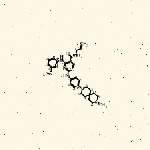 C=CCNC(=O)c1cnc(Nc2ccc(N3CCC4(CCN(C)CC4)CC3)cc2)nc1Nc1cccc(OCC)n1